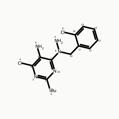 CC(C)(C)c1nc(Cl)c(N)c(N(N)Cc2ccccc2Cl)n1